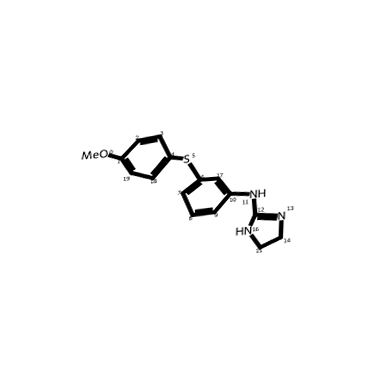 COc1ccc(Sc2cccc(NC3=NCCN3)c2)cc1